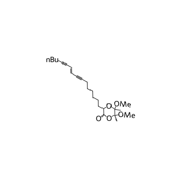 CCCCC#CC=CC#CCCCCCCC1OC(C)(OC)C(C)(OC)OC1=O